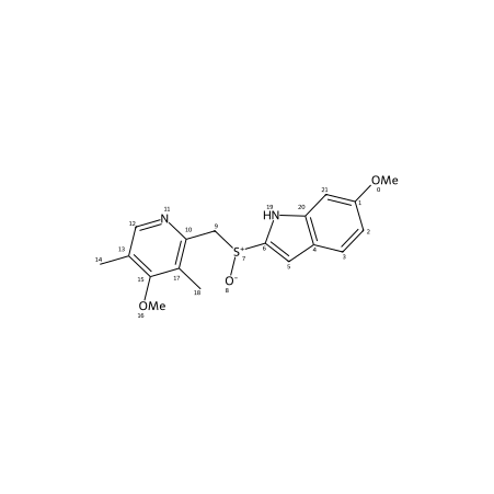 COc1ccc2cc([S+]([O-])Cc3ncc(C)c(OC)c3C)[nH]c2c1